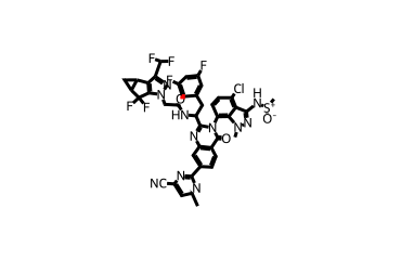 Cc1cc(C#N)nc(-c2ccc3c(=O)n(-c4ccc(Cl)c5c(N[S+](C)[O-])nn(C)c45)c(C(Cc4cc(F)cc(F)c4)NC(=O)Cn4nc(C(F)F)c5c4C(F)(F)C4CC54)nc3c2)n1